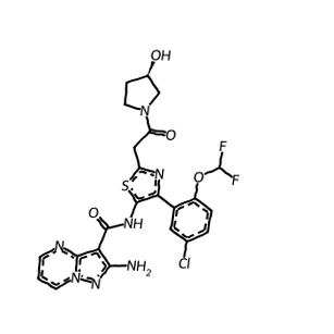 Nc1nn2cccnc2c1C(=O)Nc1sc(CC(=O)N2CC[C@@H](O)C2)nc1-c1cc(Cl)ccc1OC(F)F